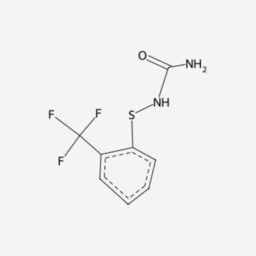 NC(=O)NSc1ccccc1C(F)(F)F